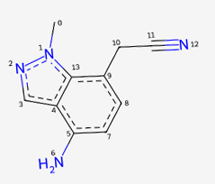 Cn1ncc2c(N)ccc(CC#N)c21